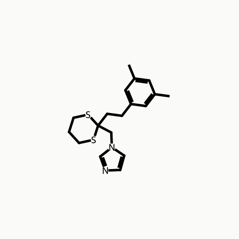 Cc1cc(C)cc(CCC2(Cn3ccnc3)SCCCS2)c1